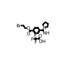 N=C(c1ccc(C(=O)OCCBr)cc1)N1CCCC1.O=C(O)C(F)(F)F